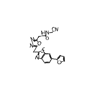 N#CCNC(=O)Cc1nnc(Cc2nc3ccc(-c4ccco4)cc3s2)o1